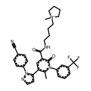 Cc1c(-c2ccnn2-c2ccc(C#N)cc2)cc(C(=O)NCCCC[N+]2(C)CCCC2)c(=O)n1-c1cccc(C(F)(F)F)c1